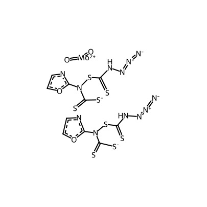 [N-]=[N+]=NNC(=S)SN(C(=S)[S-])c1ncco1.[N-]=[N+]=NNC(=S)SN(C(=S)[S-])c1ncco1.[O]=[Mo+2]=[O]